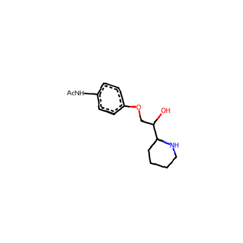 CC(=O)Nc1ccc(OCC(O)C2CCCCN2)cc1